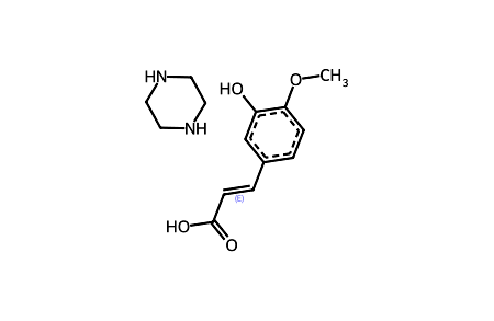 C1CNCCN1.COc1ccc(/C=C/C(=O)O)cc1O